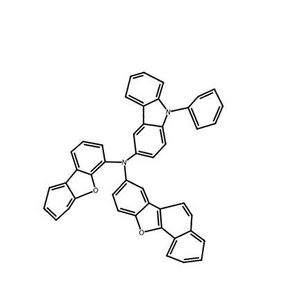 c1ccc(-n2c3ccccc3c3cc(N(c4ccc5oc6c7ccccc7ccc6c5c4)c4cccc5c4oc4ccccc45)ccc32)cc1